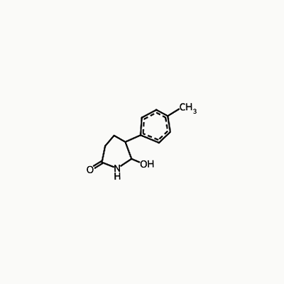 Cc1ccc(C2CCC(=O)NC2O)cc1